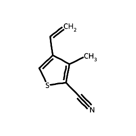 C=Cc1csc(C#N)c1C